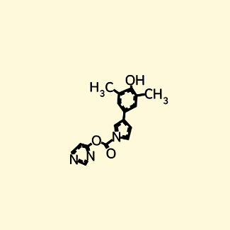 Cc1cc(-c2ccn(C(=O)Oc3ccncn3)c2)cc(C)c1O